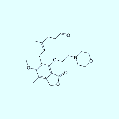 COc1c(C)c2c(c(OCCN3CCOCC3)c1C/C=C(\C)CCC=O)C(=O)OC2